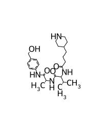 CC(NC(=O)C(NC(=O)CCCC1CCNCC1)C(C)C)C(=O)Nc1ccc(CO)cc1